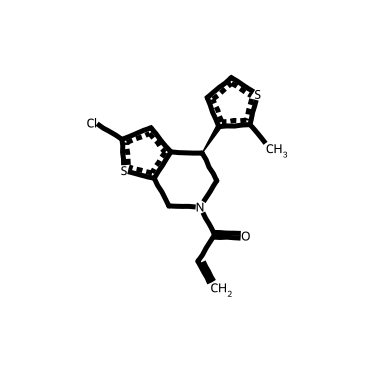 C=CC(=O)N1Cc2sc(Cl)cc2[C@@H](c2ccsc2C)C1